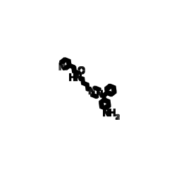 Nc1ccc(C(c2ccccc2)N2CCN(CCCCNC(=O)C=Cc3cccnc3)CC2)cc1